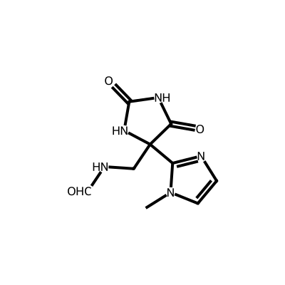 Cn1ccnc1C1(CNC=O)NC(=O)NC1=O